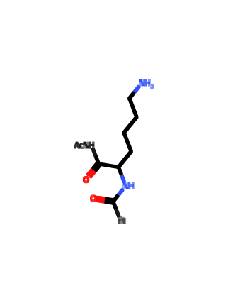 CCC(=O)NC(CCCCN)C(=O)NC(C)=O